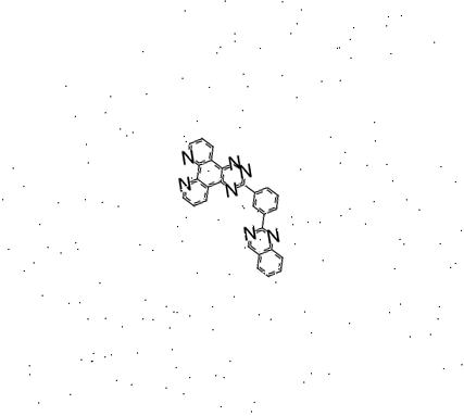 c1cc(-c2ncc3ccccc3n2)cc(-c2nnc3c4cccnc4c4ncccc4c3n2)c1